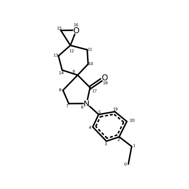 CCc1ccc(N2CCC3(CCC4(CC3)CO4)C2=O)cc1